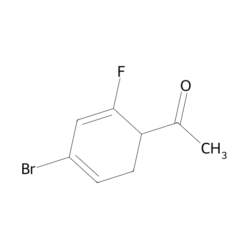 CC(=O)C1CC=C(Br)C=C1F